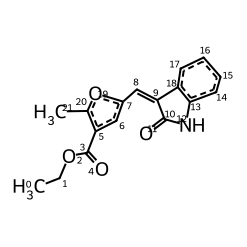 CCOC(=O)c1cc(C=C2C(=O)Nc3ccccc32)oc1C